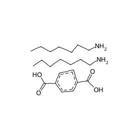 CCCCCCCN.CCCCCCCN.O=C(O)c1ccc(C(=O)O)cc1